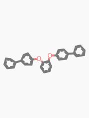 c1ccc(-c2ccc(Oc3ccccc3Oc3ccc(-c4ccccc4)cc3)cc2)cc1